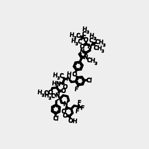 COCC(NC(=O)C(C)NCc1c(F)cc(Cl)cc1Oc1ccc(-c2cnc(CN(C(=O)OC(C)(C)C)C(C)(C)C)n2C)cc1)C(=O)N(C)[C@@]1(Cc2ccc(Cl)cc2)CCCN(C(=O)C(CC(=O)O)CC(F)(F)F)C1